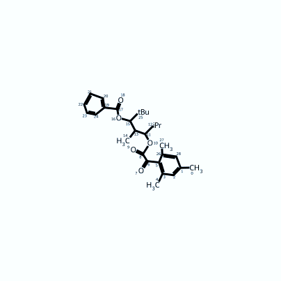 Cc1cc(C)c(C(=O)C(=O)OC(C(C)C)C(C)C(OC(=O)c2ccccc2)C(C)(C)C)c(C)c1